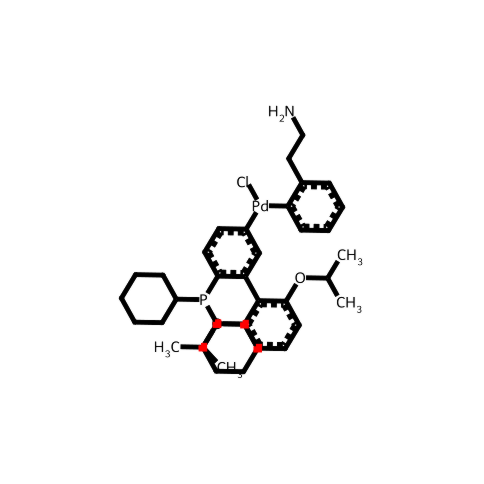 CC(C)Oc1cccc(OC(C)C)c1-c1c[c]([Pd]([Cl])[c]2ccccc2CCN)ccc1P(C1CCCCC1)C1CCCCC1